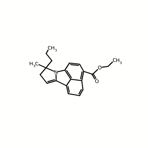 CCCC1(C)CC=c2c3cccc4c(C(=O)OCC)ccc(c43)n21